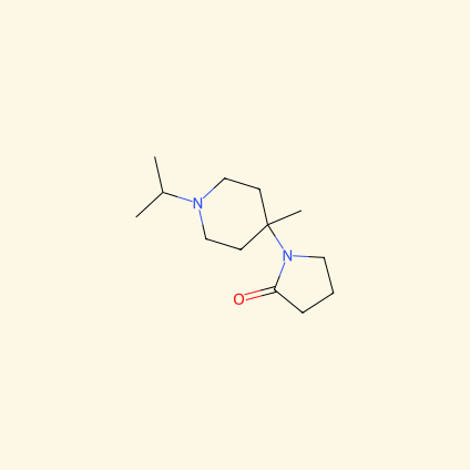 CC(C)N1CCC(C)(N2CCCC2=O)CC1